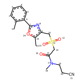 Cc1ccccc1-c1nc(CS(=O)(=O)CC(=O)N(C)CCC#N)c(C)o1